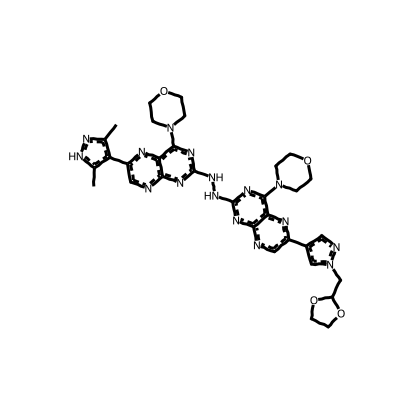 Cc1n[nH]c(C)c1-c1cnc2nc(NNc3nc(N4CCOCC4)c4nc(-c5cnn(CC6OCCO6)c5)cnc4n3)nc(N3CCOCC3)c2n1